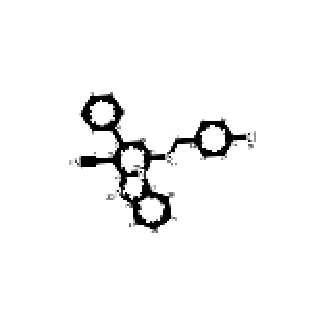 N#Cc1c(-c2ccccc2)cc(SCc2ccc(Cl)cc2)n2c1nc1ccccc12